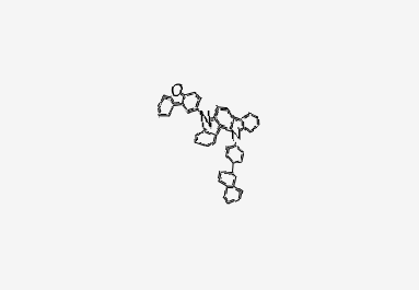 c1ccc2cc(-c3ccc(-n4c5ccccc5c5ccc6c(c7ccccc7n6-c6ccc7oc8ccccc8c7c6)c54)cc3)ccc2c1